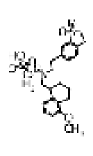 COc1cccc2c1CCCC2CN(C)CCc1ccc2c(c1)S(=O)(=O)CC2.CS(=O)(=O)O